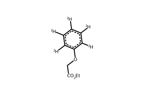 [2H]c1c([2H])c([2H])c(OCC(=O)OCC)c([2H])c1[2H]